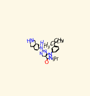 CC(C)n1c(=O)c2cnc(Nc3ccc4c(c3)CNCC4)nc2n1-c1cccc(C(C)(C)C#N)c1